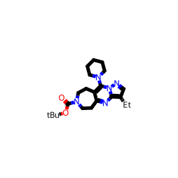 CCc1cnn2c(N3CCCCC3)c3c(nc12)CCN(C(=O)OC(C)(C)C)CC3